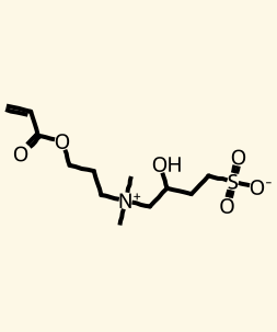 C=CC(=O)OCCC[N+](C)(C)CC(O)CCS(=O)(=O)[O-]